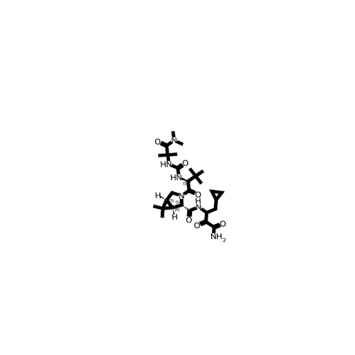 CN(C)C(=O)C(C)(C)NC(=O)N[C@H](C(=O)N1C[C@H]2[C@@H]([C@H]1C(=O)NC(CC1CC1)C(=O)C(N)=O)C2(C)C)C(C)(C)C